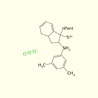 CCCCC[C]1([Ti+3])C2=CC=CCC2CC1[SiH2]c1cc(C)cc(C)c1.[Cl-].[Cl-].[Cl-]